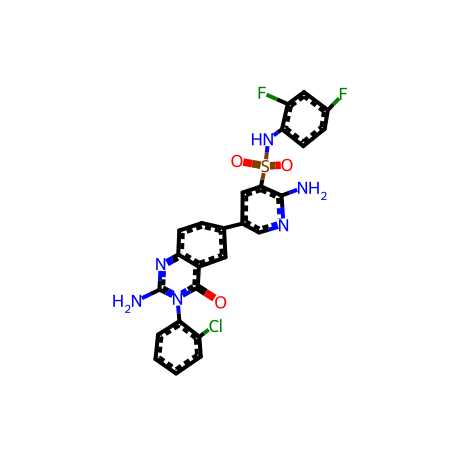 Nc1ncc(-c2ccc3nc(N)n(-c4ccccc4Cl)c(=O)c3c2)cc1S(=O)(=O)Nc1ccc(F)cc1F